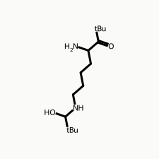 CC(C)(C)C(=O)C(N)CCCCNC(O)C(C)(C)C